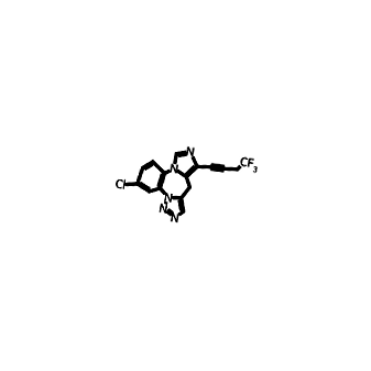 FC(F)(F)CC#Cc1ncn2c1Cc1cnnn1-c1cc(Cl)ccc1-2